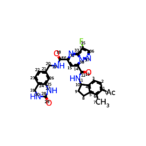 CC(=O)c1ccc2c(c1C)CCC2NC(=O)c1cc(C(=O)NCc2ccc3c(c2)NC(=O)NC3)nc2c(F)cnn12